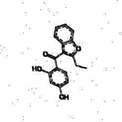 CCc1oc2ccccc2c1C(=O)c1ccc(O)cc1O